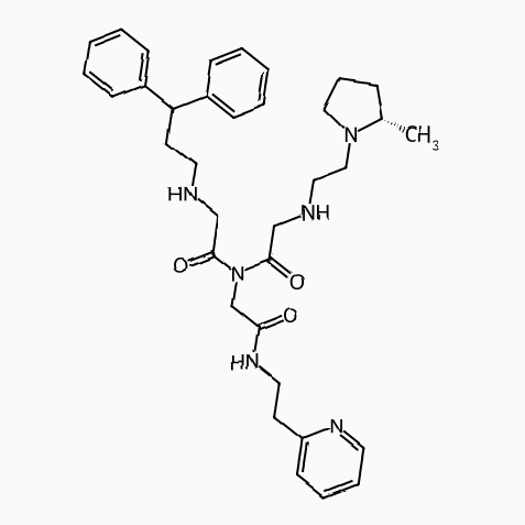 C[C@H]1CCCN1CCNCC(=O)N(CC(=O)NCCc1ccccn1)C(=O)CNCCC(c1ccccc1)c1ccccc1